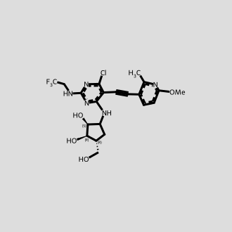 COc1ccc(C#Cc2c(Cl)nc(NCC(F)(F)F)nc2NC2C[C@H](CO)[C@@H](O)[C@H]2O)c(C)n1